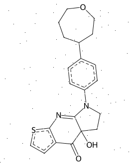 O=C1c2ccsc2N=C2N(c3ccc(C4CCCOCC4)cc3)CCC12O